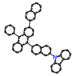 c1ccc(-c2c3ccccc3c(-c3ccc4cc(-n5c6ccccc6c6ccccc65)ccc4c3)c3ccc(-c4ccc5ccccc5c4)cc23)cc1